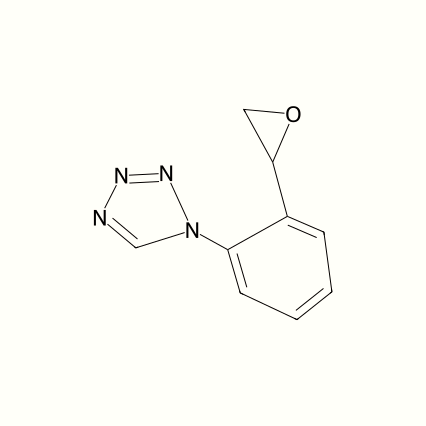 c1ccc(-n2cnnn2)c(C2CO2)c1